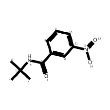 CC(C)(C)NC(=O)c1c[c]cc([N+](=O)[O-])c1